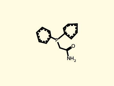 NC(=O)CP(c1ccccc1)c1ccccc1